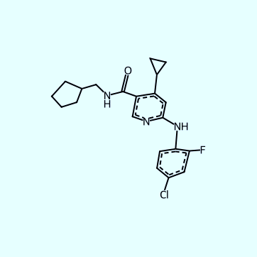 O=C(NCC1CCCC1)c1cnc(Nc2ccc(Cl)cc2F)cc1C1CC1